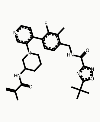 C=C(C)C(=O)NC1CCCN(c2cnccc2-c2ccc(CNC(=O)c3noc(C(C)(C)C)n3)c(C)c2F)C1